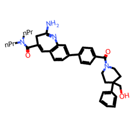 CCCN(CCC)C(=O)C1=Cc2ccc(-c3ccc(C(=O)N4CCC(CO)(c5ccccc5)CC4)cc3)cc2N=C(N)C1